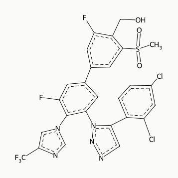 CS(=O)(=O)c1cc(-c2cc(F)c(-n3cnc(C(F)(F)F)c3)c(-n3nncc3-c3ccc(Cl)cc3Cl)c2)cc(F)c1CO